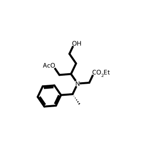 CCOC(=O)CN(C(CCO)COC(C)=O)[C@H](C)c1ccccc1